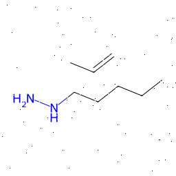 C=CC.CCCCCNN